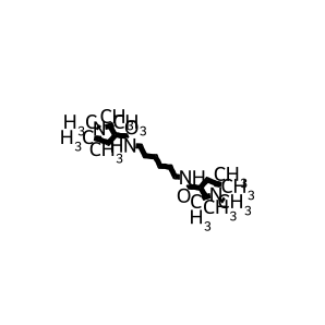 CN1C(C)(C)CC(C(=O)NCCCCCCNC(=O)C2CC(C)(C)N(C)C2(C)C)C1(C)C